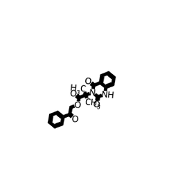 CC(C)(C(=O)OCC(=O)c1ccccc1)n1c(=O)[nH]c2ccccc2c1=O